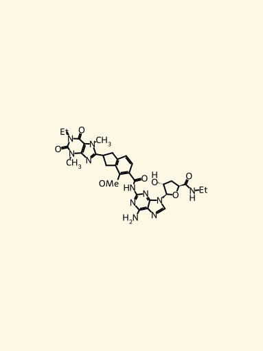 CCNC(=O)[C@@H]1C[C@@H](O)[C@H](n2cnc3c(N)nc(NC(=O)c4ccc5c(c4OC)CC(c4nc6c(c(=O)n(CC)c(=O)n6C)n4C)C5)nc32)O1